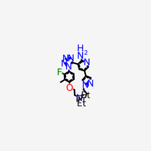 CCN(CC)CCOc1ccc(-n2nnnc2-c2cc(-c3cnn(CCC(C)C)c3)cnc2N)c(F)c1C